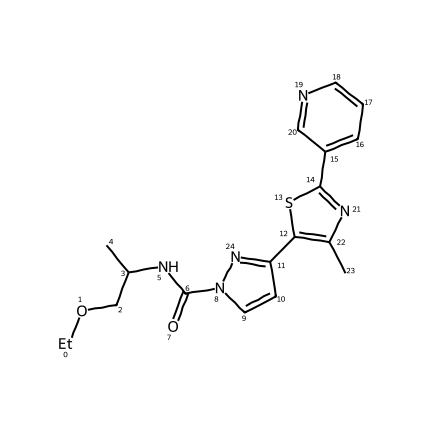 CCOCC(C)NC(=O)n1ccc(-c2sc(-c3cccnc3)nc2C)n1